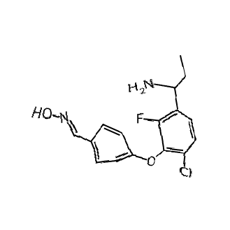 CCC(N)c1ccc(Cl)c(Oc2ccc(C=NO)cc2)c1F